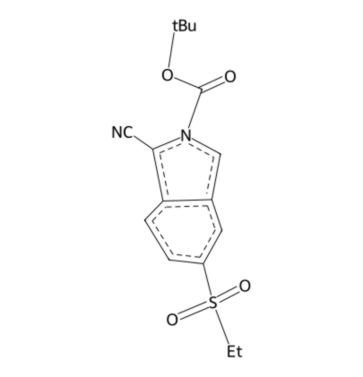 CCS(=O)(=O)c1ccc2c(C#N)n(C(=O)OC(C)(C)C)cc2c1